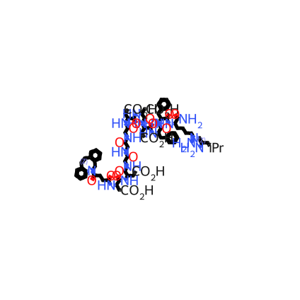 CC(C)C/C(N)=C/N(N)CCCCC(NC(=O)C(Cc1ccccc1)NC(=O)C(Cc1ccccc1)NC(=O)C(CC(=O)O)NC(=O)C(CC(=O)O)NC(=O)C(CC(=O)O)NC(=O)CNC(=O)CNC(=O)CNC(=O)C(CC(=O)O)NC(=O)C(CC(=O)O)NC(=O)CCC(=O)N1Cc2ccccc2/C=C\c2ccccc21)C(N)=O